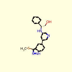 CSc1n[nH]c2ccc(-c3cncc(N[C@@H](CO)c4ccccc4)c3)cc12